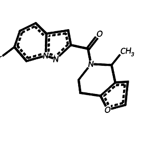 CC1c2ccoc2CCN1C(=O)c1cc2ccc(Br)cn2n1